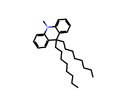 CCCCCCCCC1(CCCCCCCC)c2ccccc2N(C)c2ccccc21